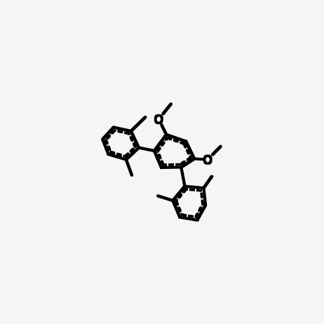 COc1cc(OC)c(-c2c(C)cccc2C)cc1-c1c(C)cccc1C